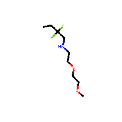 CCC(F)(F)CNCCOCCOC